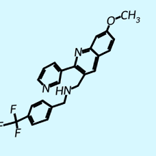 COc1ccc2cc(CNCc3ccc(C(F)(F)F)cc3)c(-c3cccnc3)nc2c1